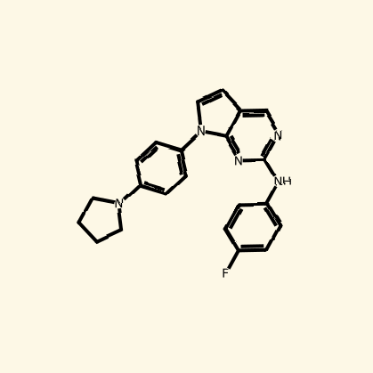 Fc1ccc(Nc2ncc3ccn(-c4ccc(N5CCCC5)cc4)c3n2)cc1